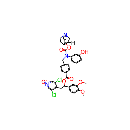 COc1ccc(C(Cc2c(Cl)c[n+]([O-])cc2Cl)OC(=O)c2ccc(CN(C(=O)O[C@H]3CN4CCC3CC4)c3cccc(O)c3)cc2)cc1OC